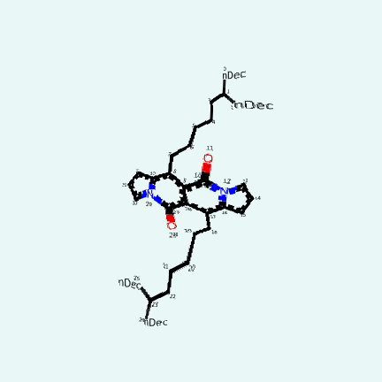 CCCCCCCCCCC(CCCCCCCCCC)CCCCCc1c2c(=O)n3cccc3c(CCCCCC(CCCCCCCCCC)CCCCCCCCCC)c2c(=O)n2cccc12